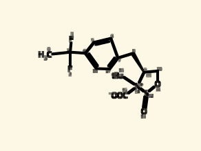 CC(F)(F)c1ccc(C[C@H]2COS(=O)[N+]2(C(=O)[O-])C(C)(C)C)cc1